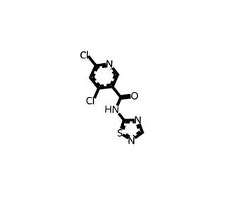 O=C(Nc1ncns1)c1cnc(Cl)cc1Cl